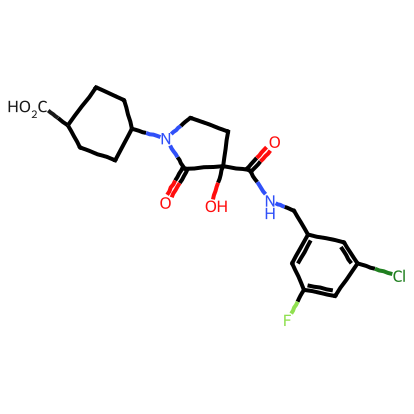 O=C(O)C1CCC(N2CCC(O)(C(=O)NCc3cc(F)cc(Cl)c3)C2=O)CC1